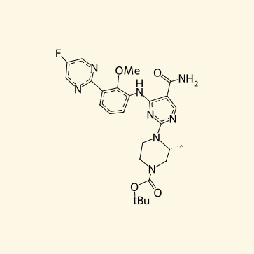 COc1c(Nc2nc(N3CCN(C(=O)OC(C)(C)C)C[C@H]3C)ncc2C(N)=O)cccc1-c1ncc(F)cn1